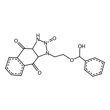 O=C1c2ccccc2C(=O)C2C1N[N+](=O)N2CCOC(O)c1ccccc1